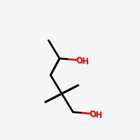 CC(O)CC(C)(C)CO